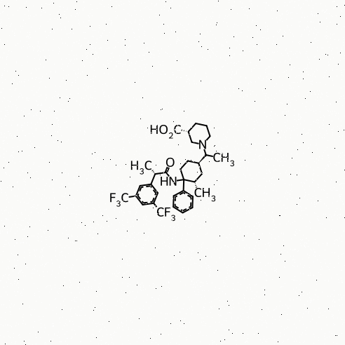 CC([C@@H]1CCC(NC(=O)[C@@H](C)c2cc(C(F)(F)F)cc(C(F)(F)F)c2)(c2ccccc2)[C@@H](C)C1)N1CCC[C@@H](C(=O)O)C1